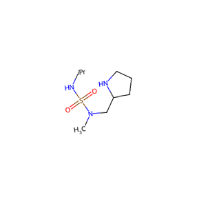 CC(C)NS(=O)(=O)N(C)CC1CCCN1